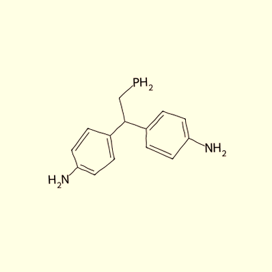 Nc1ccc(C(CP)c2ccc(N)cc2)cc1